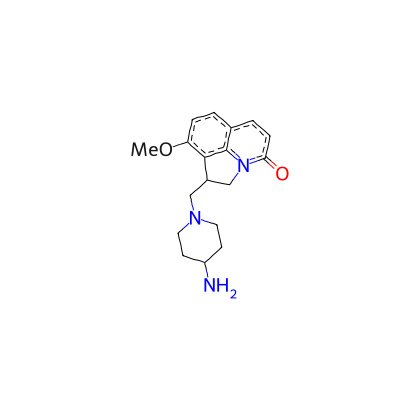 COc1ccc2ccc(=O)n3c2c1C(CN1CCC(N)CC1)C3